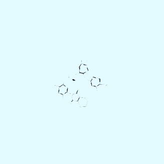 C#CC(C)Oc1cc(N2C(=O)C3=C(CCCC3)C2=O)c(F)cc1Cl.O=C(O)c1cc(Oc2ccc(C(F)(F)F)cc2Cl)ccc1[N+](=O)[O-]